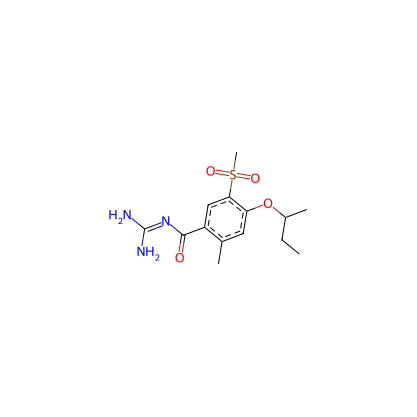 CCC(C)Oc1cc(C)c(C(=O)N=C(N)N)cc1S(C)(=O)=O